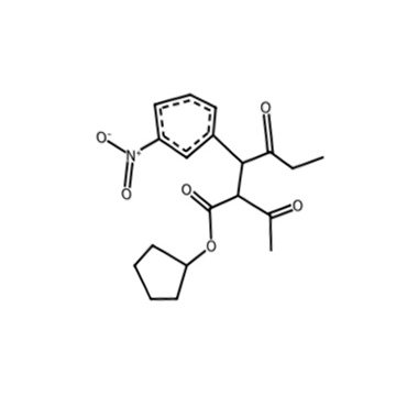 CCC(=O)C(c1cccc([N+](=O)[O-])c1)C(C(C)=O)C(=O)OC1CCCC1